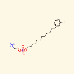 C[N+](C)(C)CCOP(=O)([O-])OCCCCCCCCCCCCc1cccc(I)c1